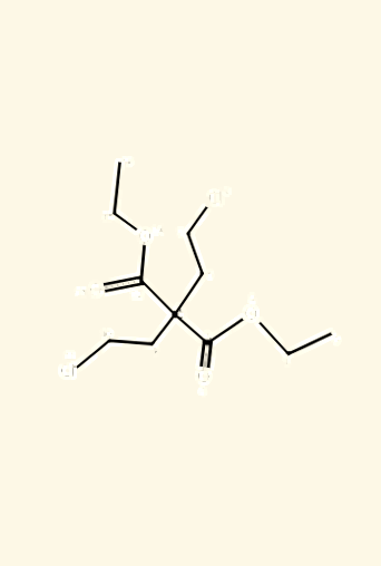 CCOC(=O)C(CCCl)(CCCl)C(=O)OCC